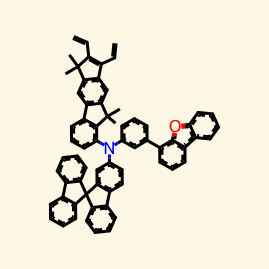 C=CC1=C(C=C)C(C)(C)c2cc3c(cc21)C(C)(C)c1c-3cccc1N(c1cccc(-c2cccc3c2oc2ccccc23)c1)c1ccc2c(c1)C1(c3ccccc3-c3ccccc31)c1ccccc1-2